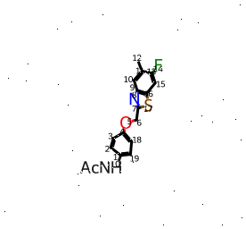 CC(=O)Nc1ccc(OCc2nc3cc(C)c(F)cc3s2)cc1